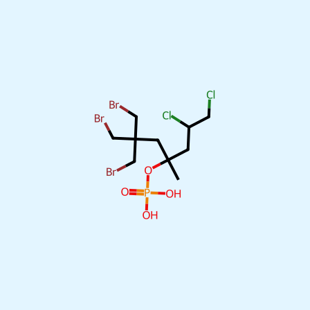 CC(CC(Cl)CCl)(CC(CBr)(CBr)CBr)OP(=O)(O)O